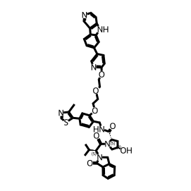 Cc1ncsc1-c1ccc(CNC(=O)[C@@H]2C[C@@H](O)CN2C(=O)[C@H](C(C)C)N2Cc3ccccc3C2=O)c(OCCOCCOc2ccc(-c3ccc4c(c3)[nH]c3ccncc34)cn2)c1